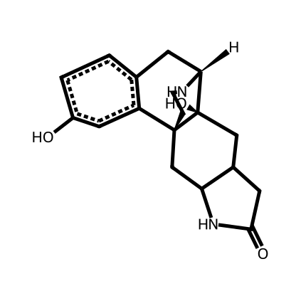 O=C1CC2C[C@@]3(O)[C@H]4Cc5ccc(O)cc5[C@@]3(CCN4)CC2N1